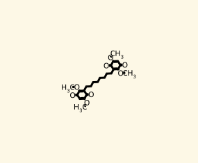 COC1=CC(=O)C(OC)=C(CCCCCCCCC2=C(OC)C(=O)C=C(OC)C2=O)C1=O